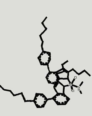 CCCCCCc1ccc(-c2cccc3c2C=C(CCCC)[CH]3[Zr]([Cl])([Cl])([CH]2C(CCCC)=Cc3c(-c4ccc(CCCCCC)cc4)cccc32)[SiH](C)C)cc1